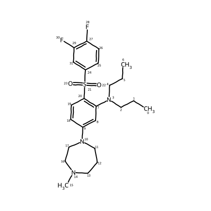 CCCN(CCC)c1cc(N2CCCN(C)CC2)ccc1S(=O)(=O)c1ccc(F)c(F)c1